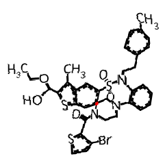 CCOC(O)c1sc2ccc(S(=O)(=O)N(CCc3ccc(C)cc3)c3ccccc3N3CCN(C(=O)c4sccc4Br)CC3)cc2c1C